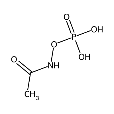 CC(=O)NOP(=O)(O)O